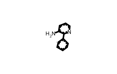 Nc1cccnc1-c1[c]cccc1